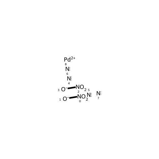 O=[N+]([O-])[O-].O=[N+]([O-])[O-].[N].[N].[N].[N].[Pd+2]